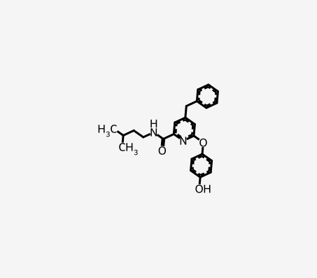 CC(C)CCNC(=O)c1cc(Cc2ccccc2)cc(Oc2ccc(O)cc2)n1